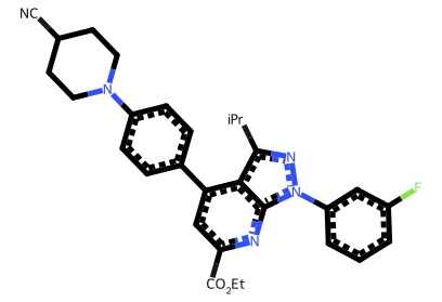 CCOC(=O)c1cc(-c2ccc(N3CCC(C#N)CC3)cc2)c2c(C(C)C)nn(-c3cccc(F)c3)c2n1